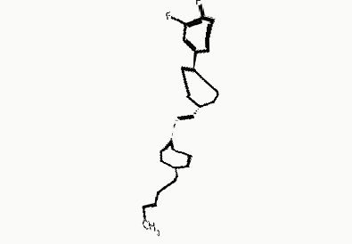 CCCCC[C@H]1CC[C@H](C=C[C@H]2CC[C@H](c3ccc(F)c(F)c3)CC2)CC1